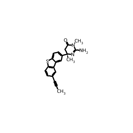 CC#Cc1ccc2sc3ccc([C@]4(C)CC(=O)N(C)C(N)=N4)cc3c2c1